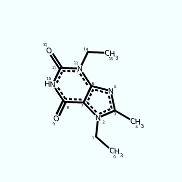 CCn1c(C)nc2c1c(=O)[nH]c(=O)n2CC